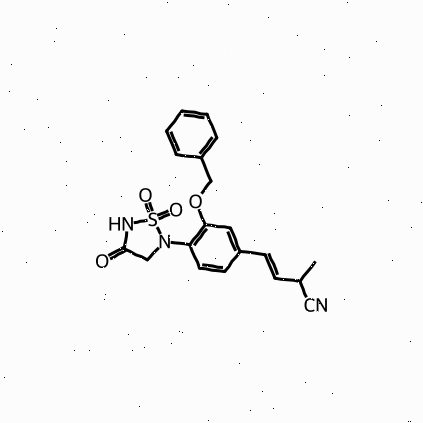 CC(C#N)C=Cc1ccc(N2CC(=O)NS2(=O)=O)c(OCc2ccccc2)c1